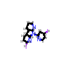 Ic1ccnc(-n2c3ncccc3c3ccc(I)nc32)c1